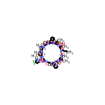 CCCCN1CC(=O)N(C)[C@@H](CC(C)C)C(=O)N[C@H](C(=O)N2CCCCC2)CC(=O)N(C)[C@@H](C)C(=O)N[C@@H](COC[C@@H]2CC(F)(F)CN2)C(=O)N(C)[C@@H](CC(C)C)C(=O)N(C)[C@@H](CC)C(=O)N[C@@H](C(C)C)C(=O)N(C)[C@@H](Cc2ccccc2)C(=O)N(C)C(CC(C)C)C(=O)N[C@@H]([C@@H](C)O)C1=O